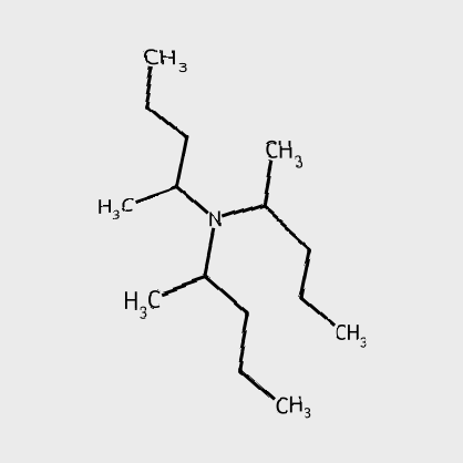 CCCC(C)N(C(C)CCC)C(C)CCC